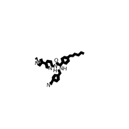 CCCCCCc1ccc([C@H](NCCc2ccc(C#N)cc2)C(=O)Nc2ccc(-c3cnn(C)c3)cn2)cc1